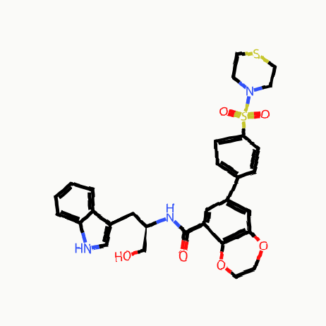 O=C(N[C@@H](CO)Cc1c[nH]c2ccccc12)c1cc(-c2ccc(S(=O)(=O)N3CCSCC3)cc2)cc2c1OCCO2